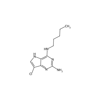 CCCCCNc1nc(N)nc2c(Cl)c[nH]c12